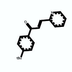 CC(C)(C)c1ccc(C(=O)C=Cc2ccccn2)cc1